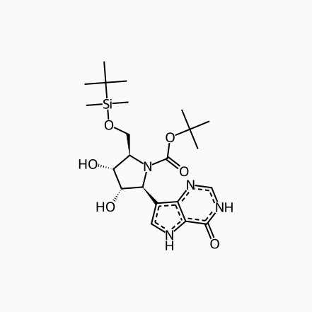 CC(C)(C)OC(=O)N1[C@H](CO[Si](C)(C)C(C)(C)C)[C@@H](O)[C@@H](O)[C@@H]1c1c[nH]c2c(=O)[nH]cnc12